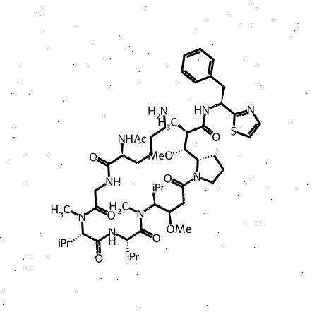 CO[C@H]([C@@H](C)C(=O)N[C@@H](Cc1ccccc1)c1nccs1)[C@@H]1CCCN1C(=O)C[C@@H](OC)[C@H](C(C)C)N(C)C(=O)[C@@H](NC(=O)[C@H](C(C)C)N(C)C(=O)CNC(=O)[C@H](CCCCN)NC(C)=O)C(C)C